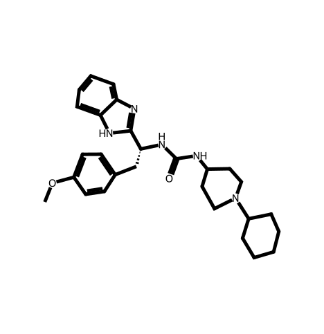 COc1ccc(C[C@@H](NC(=O)NC2CCN(C3CCCCC3)CC2)c2nc3ccccc3[nH]2)cc1